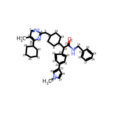 Cc1cnc(CC2CCC(C(C(=O)NCc3ccccc3)c3ccc(-c4ccn(C)c4)cc3)CC2)nc1C1CCCCC1